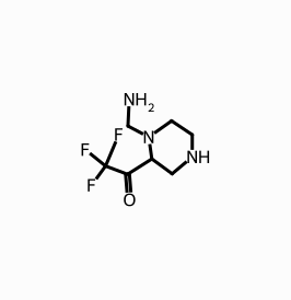 NCN1CCNCC1C(=O)C(F)(F)F